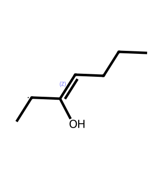 C[CH]/C(O)=C/CCC